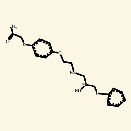 CC(=O)COc1ccc(OCCNC[C@H](O)COc2ccccc2)cc1